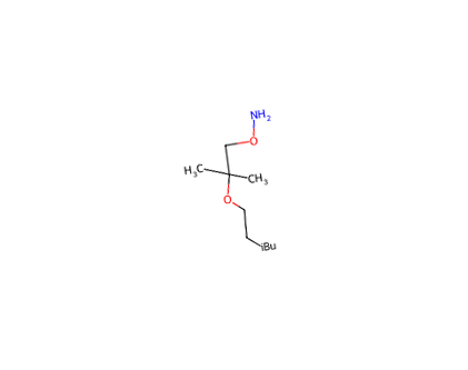 CCC(C)CCOC(C)(C)CON